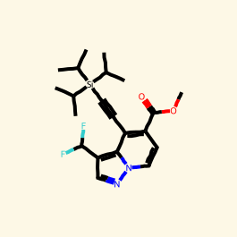 COC(=O)c1ccn2ncc(C(F)F)c2c1C#C[Si](C(C)C)(C(C)C)C(C)C